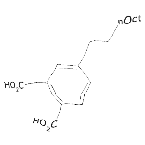 CCCCCCCCCCc1ccc(C(=O)O)c(C(=O)O)c1